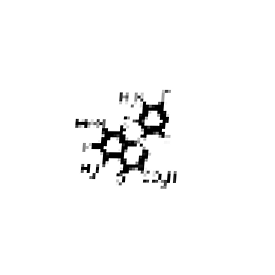 CNc1c(F)c(C)c2c(=O)c(C(=O)O)cn(-c3cc(N)c(F)cc3F)c2c1C